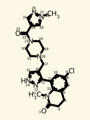 CN1C(=O)CCc2cc(Cl)cc(-c3n[nH]cc3CN3CCN(C(=O)c4cnn(C)c4)CC3)c21